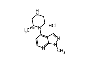 C[C@H]1CNCCN1c1ccnc2c1cnn2C.Cl